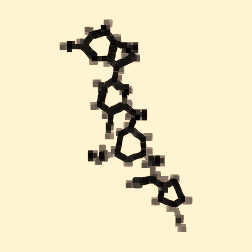 C[C@@H]1CC(Nc2nc(-c3c[nH]c4ncc(F)cc34)ncc2F)C[C@H](NC(=O)N2CC[C@H](F)C2)C1